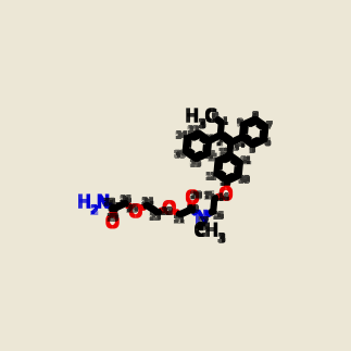 CC/C(=C(\c1ccccc1)c1ccc(OCCN(C)C(=O)COCCOCC(N)=O)cc1)c1ccccc1